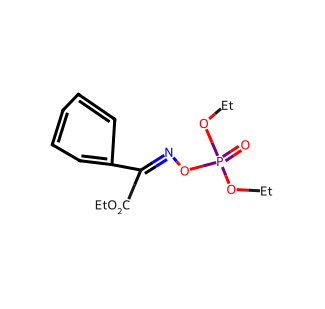 CCOC(=O)C(=NOP(=O)(OCC)OCC)c1ccccc1